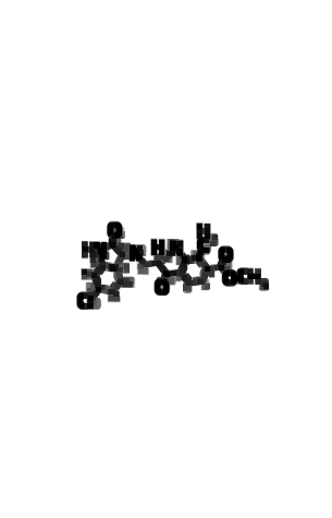 COC(=O)c1ccc(C(=O)CC/N=C2/C(=O)Nc3cc(Cl)ccc32)c(N)c1C